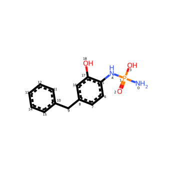 NP(=O)(O)Nc1ccc(Cc2ccccc2)cc1O